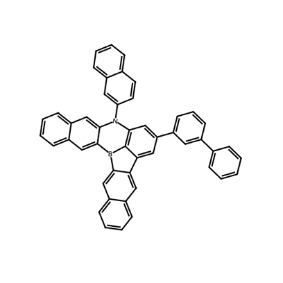 c1ccc(-c2cccc(-c3cc4c5c(c3)N(c3ccc6ccccc6c3)c3cc6ccccc6cc3B5c3cc5ccccc5cc3-4)c2)cc1